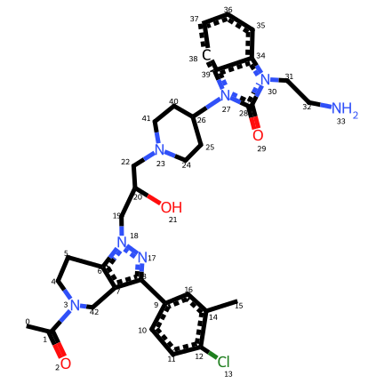 CC(=O)N1CCc2c(c(-c3ccc(Cl)c(C)c3)nn2CC(O)CN2CCC(n3c(=O)n(CCN)c4ccccc43)CC2)C1